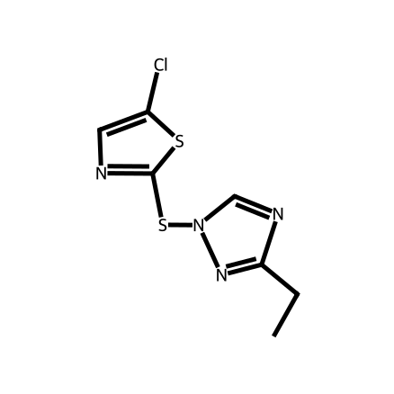 CCc1ncn(Sc2ncc(Cl)s2)n1